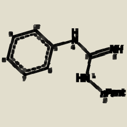 CCCCCNC(=N)Nc1ccccc1